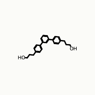 OCCCc1ccc(-c2cccc(-c3ccc(CCCO)cc3)c2)cc1